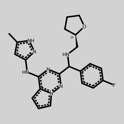 Cc1cc(Nc2nc(C(NC[C@H]3CCCO3)c3ccc(F)cc3)nn3cccc23)n[nH]1